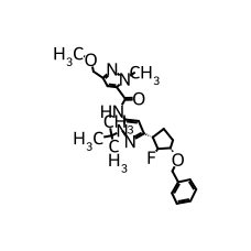 COCc1cc(C(=O)Nc2cc([C@@H]3CC[C@H](OCc4ccccc4)[C@H]3F)nn2C(C)(C)C)n(C)n1